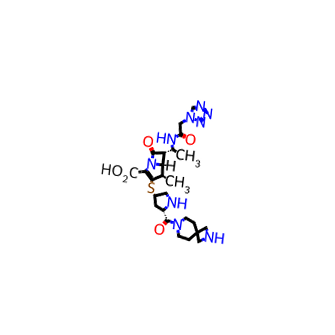 CC(NC(=O)Cn1cnnn1)[C@H]1C(=O)N2C(C(=O)O)=C(S[C@@H]3CN[C@H](C(=O)N4CCC5(CC4)CNC5)C3)[C@H](C)[C@H]12